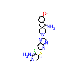 C=N/C(N)=C(Cl)\C(=C/C)Sc1ccc2nc(N3CCC4(CC3)Cc3ccc(OC)cc3[C@H]4N)cnc2n1